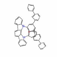 c1ccc(-c2ccc(-c3cc(-c4cccc(-c5ccccc5)c4)cc(-n4c5ccccc5c5ccc6c7ccccc7n(-c7ccccc7)c6c54)c3)cc2)cc1